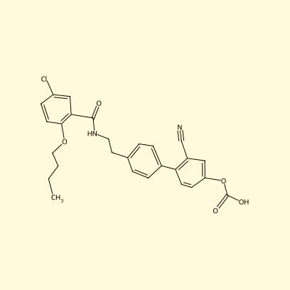 CCCCOc1ccc(Cl)cc1C(=O)NCCc1ccc(-c2ccc(OC(=O)O)cc2C#N)cc1